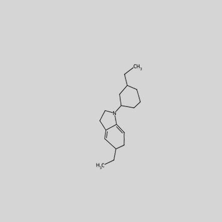 CCC1C=C2CCN(C3CCCC(CC)C3)C2=CC1